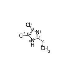 C=Cc1nc(Cl)c(Cl)[nH]1